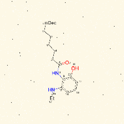 CCCCCCCCCCCCCCCC(=O)Nc1c(O)cccc1NCC